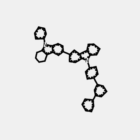 c1ccc(-c2cccc(-c3ccc(-n4c5ccccc5c5cc(-c6ccc7c(c6)c6c(n7-c7ccccc7)CCCC6)ccc54)cc3)c2)cc1